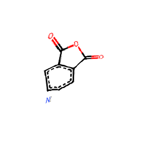 O=C1OC(=O)c2ccccc21.[N]